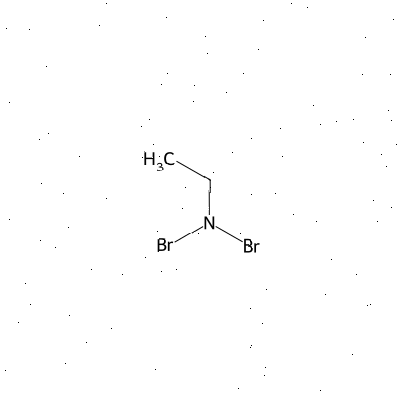 CCN(Br)Br